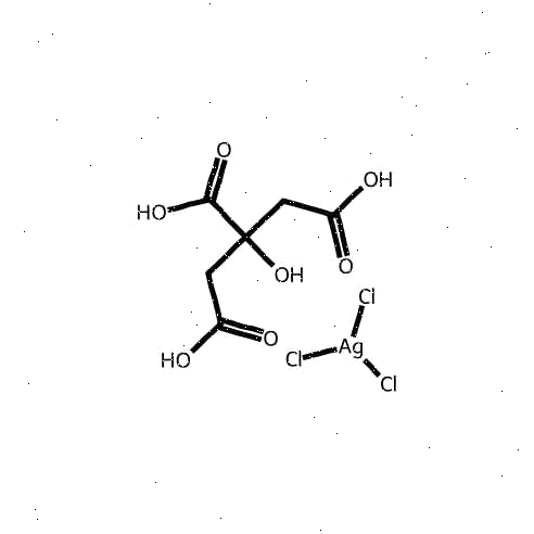 O=C(O)CC(O)(CC(=O)O)C(=O)O.[Cl][Ag]([Cl])[Cl]